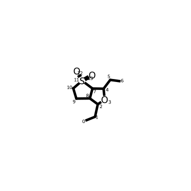 CCC1OC(CC)C2C1CCS2(=O)=O